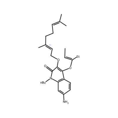 CC=C(CC)Oc1c(OC/C=C(\C)CCC=C(C)C)c(=O)n(CCCC)c2cc(N)ccc12